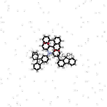 CC1(C)c2ccccc2-c2cccc(-c3cccc(N(c4ccc5c(c4)C4(CC6CCC4C6)c4ccccc4-5)c4ccccc4-c4cccc5cccc(-c6ccccc6)c45)c3)c21